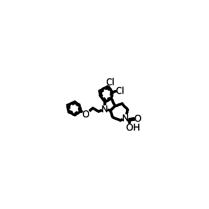 O=C(O)N1CCC2c3c(ccc(Cl)c3Cl)N(CCOc3ccccc3)C2CC1